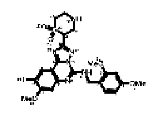 COc1ccc(CNc2nc3cc(OC)c(F)cc3c3nc(C4CNCCS4(=O)=O)nn23)c(OC)c1